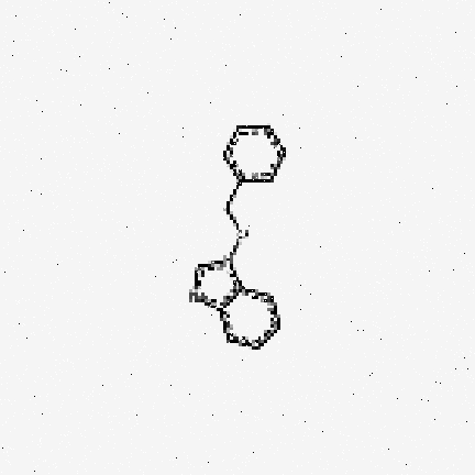 c1ccc(COn2cnc3ccccc32)cc1